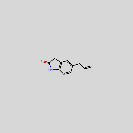 C=CCc1ccc2c(c1)CC(=O)N2